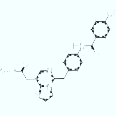 COC(=O)Cc1cnc(Cc2ccc(NC(=O)c3ccc(C(F)(F)F)cc3)cc2)n2ccnc12